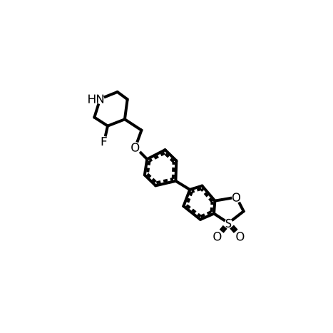 O=S1(=O)COc2cc(-c3ccc(OCC4CCNCC4F)cc3)ccc21